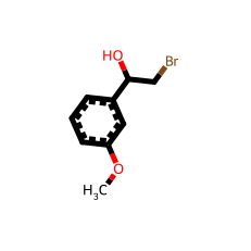 COc1cccc(C(O)CBr)c1